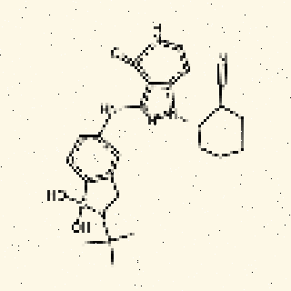 CC(C)(C)N1Cc2cc(Nc3nn([C@H]4CCCC[C@@H]4C#N)c4cc[nH]c(=O)c34)ccc2S1(O)O